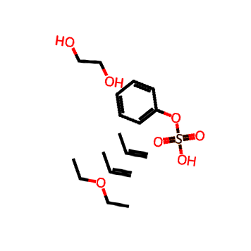 C=CC.C=CC.CCOCC.O=S(=O)(O)Oc1ccccc1.OCCO